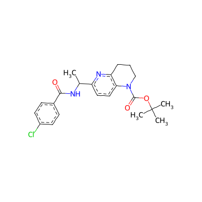 CC(NC(=O)c1ccc(Cl)cc1)c1ccc2c(n1)CCCN2C(=O)OC(C)(C)C